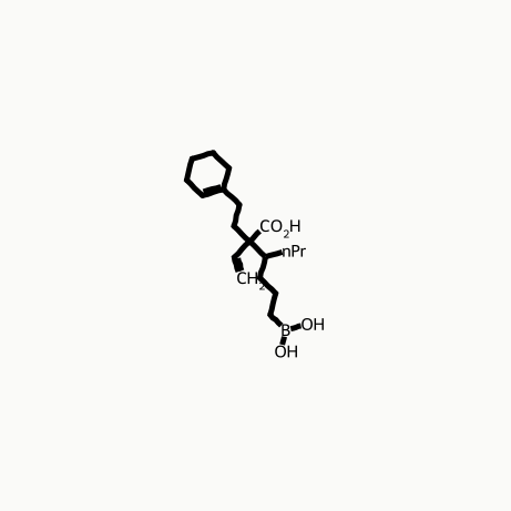 C=CC(CCC1=CCCCC1)(C(=O)O)C(CCC)CCCB(O)O